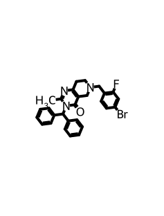 Cc1nc2c(c(=O)n1C(c1ccccc1)c1ccccc1)CN(Cc1ccc(Br)cc1F)CC2